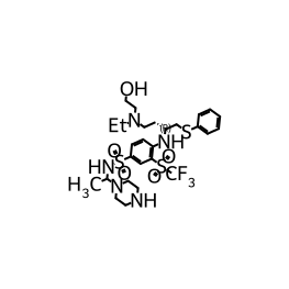 CCN(CCO)CC[C@H](CSc1ccccc1)Nc1ccc(S(=O)(=O)NC(C)N2CCNCC2)cc1S(=O)(=O)C(F)(F)F